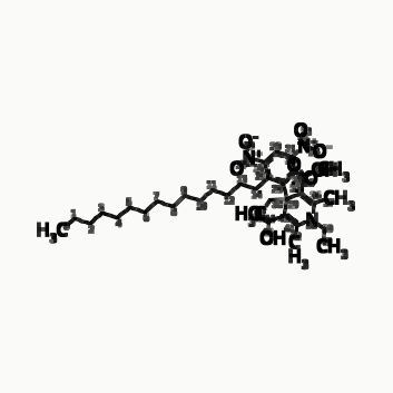 CCCCCCCCCCCCCCCc1c([N+](=O)[O-])cc([N+](=O)[O-])c(OC)c1C1(CC)C(C(=O)O)=C(C)N(CC)C(C)=C1C(=O)O